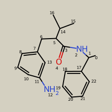 CC(NC(=O)C(Cc1cccc(N)c1)C(C)C)c1ccccc1